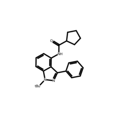 CC(C)(C)n1nc(-c2ccccc2)c2c(NC(=O)C3CCCC3)cccc21